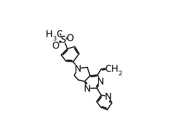 C=Cc1nc(-c2ccccn2)nc2c1CN(c1ccc(S(C)(=O)=O)cc1)CC2